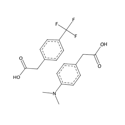 CN(C)c1ccc(CC(=O)O)cc1.O=C(O)Cc1ccc(C(F)(F)F)cc1